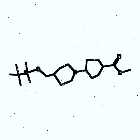 COC(=O)C1CCC(N2CCC(CO[Si](C)(C)C(C)(C)C)CC2)CC1